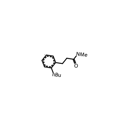 CCCCc1cc[c]cc1CCC(=O)NC